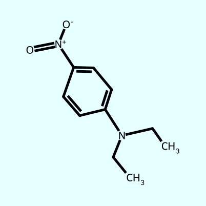 CCN(CC)c1ccc([N+](=O)[O-])cc1